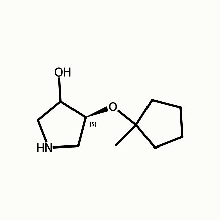 CC1(O[C@H]2CNCC2O)CCCC1